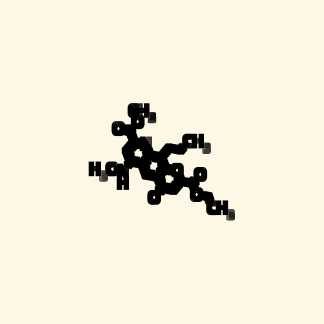 CCCc1c2nc(C(=O)OC)cc(NC)c2cc2c(=O)cc(C(=O)OCC)oc12